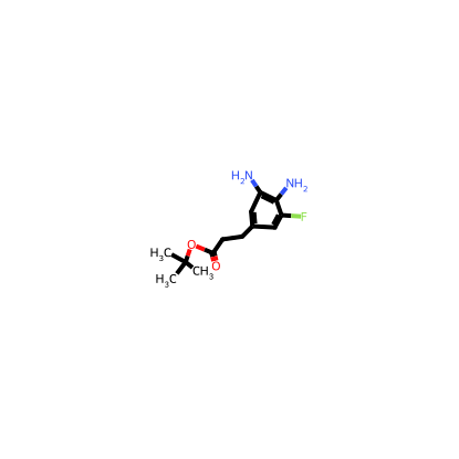 CC(C)(C)OC(=O)CCc1cc(N)c(N)c(F)c1